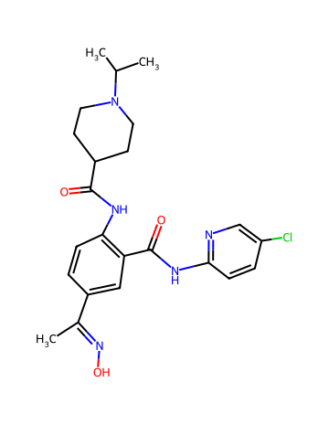 CC(=NO)c1ccc(NC(=O)C2CCN(C(C)C)CC2)c(C(=O)Nc2ccc(Cl)cn2)c1